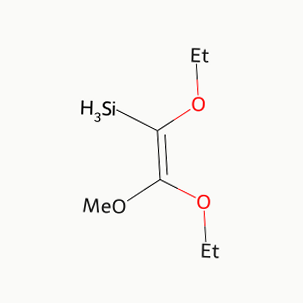 CCOC([SiH3])=C(OC)OCC